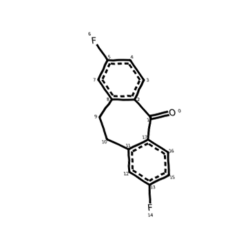 O=C1c2ccc(F)cc2CCc2cc(F)ccc21